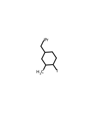 CC(C)CC1CCC(I)C(C)C1